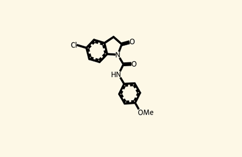 COc1ccc(NC(=O)N2C(=O)Cc3cc(Cl)ccc32)cc1